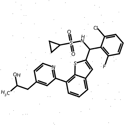 CC(O)Cc1ccnc(-c2cccc3cc(C(NS(=O)(=O)C4CC4)c4c(F)cccc4Cl)sc23)c1